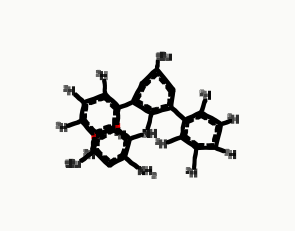 [2H]c1c([2H])c([2H])c(-c2cc(C(C)(C)C)cc(-c3c([2H])c([2H])c([2H])c([2H])c3[2H])c2Nc2ccc(C(C)(C)C)cc2N)c([2H])c1[2H]